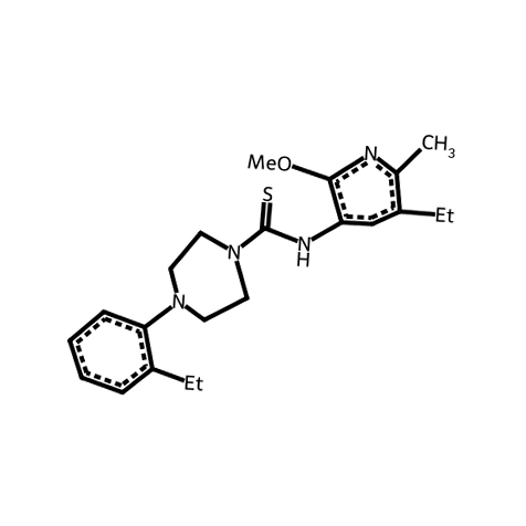 CCc1ccccc1N1CCN(C(=S)Nc2cc(CC)c(C)nc2OC)CC1